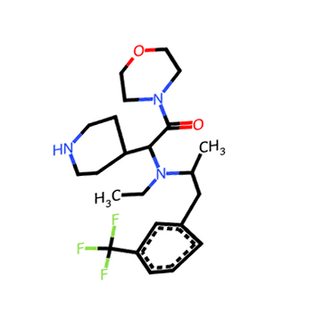 CCN(C(C)Cc1cccc(C(F)(F)F)c1)C(C(=O)N1CCOCC1)C1CCNCC1